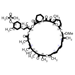 CO[C@H]1C[C@@H]2CC[C@@H](C)[C@@](O)(O2)C(=O)C(=O)N2CCCC[C@H]2C(=O)O[C@H]([C@H](C)C[C@@H]2CC[C@@H](OP(C)(C)=O)[C@H](C)C2)CC(=O)[C@H](C)/C=C(\C)[C@@H](O)[C@@H](C)C(=O)[C@H](C)C[C@H](C)/C=C/C=C/C=C/1C